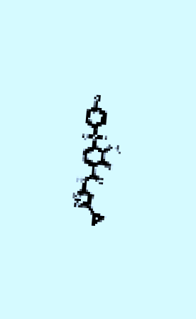 NC1C(=S)C(C(=O)Nc2cc(C3CC3)[nH]n2)=CC=C1S(=O)(=O)c1ccc(Cl)cc1